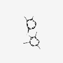 Cc1cc(C)c(Nc2ccc(Cl)c(Cl)c2)c(C)c1